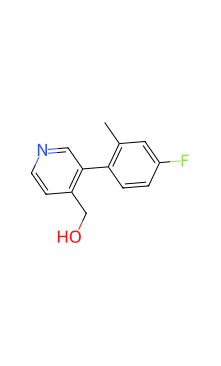 Cc1cc(F)ccc1-c1cnccc1CO